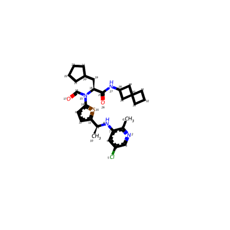 Cc1ncc(Cl)cc1N[C@@H](C)c1ccc(N(C=O)[C@@H](CC2CCCC2)C(=O)NC2CC3(CCC3)C2)s1